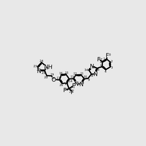 Fc1cccc(C2=NC(Cc3ccc(-c4ccc(OCCc5ncc[nH]5)cc4C(F)(F)F)nn3)C=N2)c1F